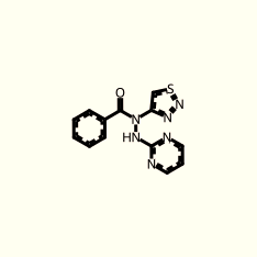 O=C(c1ccccc1)N(Nc1ncccn1)c1csnn1